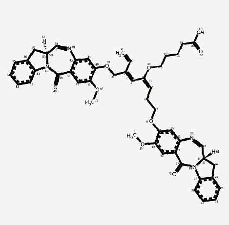 C=C/C(=C\C(=C/CCOc1cc2c(cc1OC)C(=O)N1c3ccccc3C[C@H]1C=N2)OCCCCC(=O)O)COc1cc2c(cc1OC)C(=O)N1c3ccccc3C[C@H]1C=N2